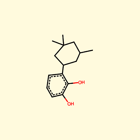 CC1CC(c2cccc(O)c2O)CC(C)(C)C1